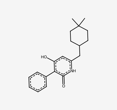 CC1(C)CCC(Cc2cc(O)c(-c3ccccc3)c(=O)[nH]2)CC1